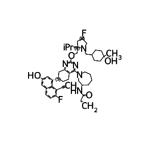 C#Cc1c(F)ccc2cc(O)cc([C@H]3CCc4c(nc(OC[C@]5(C(C)C)C[C@@H](F)CN5CC5CCC(C)(O)CC5)nc4N4CCCCC(NC(=O)C=C)C4)C3)c12